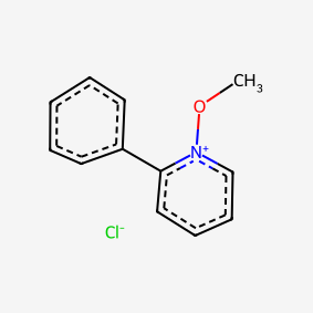 CO[n+]1ccccc1-c1ccccc1.[Cl-]